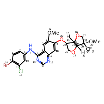 COc1cc2c(Nc3ccc(Br)c(Cl)c3)ncnc2cc1O[C@@H]1CO[C@@H]2[C@H]1OC[C@@]2(OC)C(F)(F)F